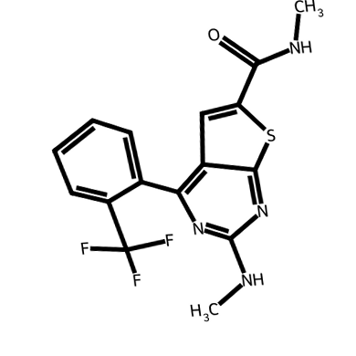 CNC(=O)c1cc2c(-c3ccccc3C(F)(F)F)nc(NC)nc2s1